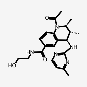 CC(=O)N1c2ccc(C(=O)NCCO)cc2[C@H](Nc2nccc(C)n2)[C@@H](C)[C@@H]1C